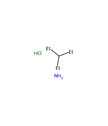 CCC(CC)CC.Cl.N